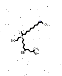 C=C(CCC(CCCCN(CCC#N)C(=O)CCCCCCC/C=C\CCCCCCCC)N=O)C(C)C